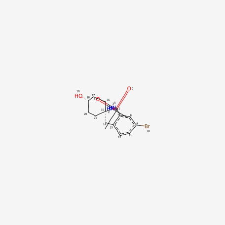 O=C1NC(=O)C2(N1)c1cc(Br)ccc1C[C@]21CC[C@@H](O)CC1